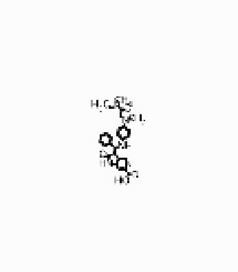 CCN(C)C(=O)CN(C)c1ccc(NC(=C2C(=O)Nc3cc(C(=O)O)ncc32)c2ccccc2)cc1